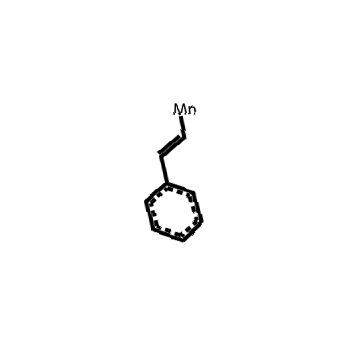 [Mn][CH]=Cc1ccccc1